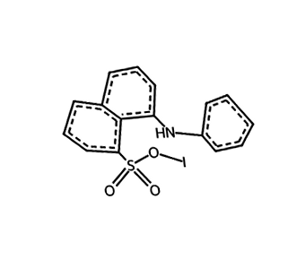 O=S(=O)(OI)c1cccc2cccc(Nc3ccccc3)c12